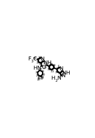 Nc1n[nH]c2ncc(-c3ccc(CNc4ncc(C(F)(F)F)cc4C(=O)NC4CCC(F)(F)CC4)cc3)cc12